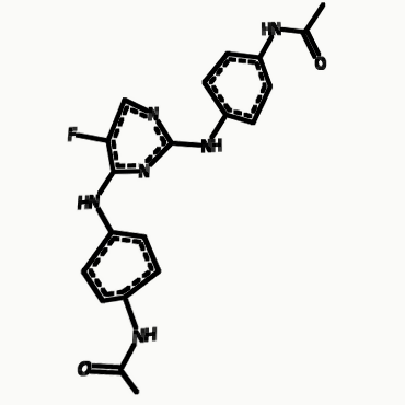 CC(=O)Nc1ccc(Nc2ncc(F)c(Nc3ccc(NC(C)=O)cc3)n2)cc1